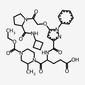 CCOC(=O)N1CCN(C(=O)C(CCC(=O)O)NC(=O)c2cc(OCC(=O)N3CCCC3C(=O)NC3CCC3)n(-c3ccccc3)n2)C(C)C1